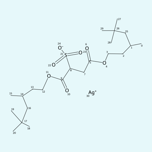 CC(CCOC(=O)CC(C(=O)OCCC(C)CC(C)(C)C)S(=O)(=O)[O-])CC(C)(C)C.[Ag+]